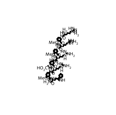 COc1ccc(NC(=O)[C@H](CCCCNC(=N)N)NC(=O)c2cc(NC(=O)[C@H](CCCCNC(=N)N)NC(=O)c3cc(NC(=O)[C@H](CCCCNC(=N)N)NC(=O)c4cc(NC(=O)[C@@H](N)CCCCNC(=N)N)ccc4OC)ccc3OC)ccc2OCC(=O)O)cc1C(=O)N[C@@H](CCc1c[nH]c2ccccc12)C(N)=O